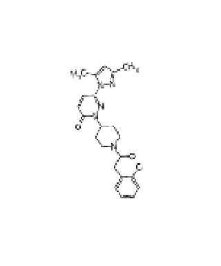 Cc1cc(C)n(-c2ccc(=O)n(C3CCN(C(=O)Cc4ccccc4Cl)CC3)n2)n1